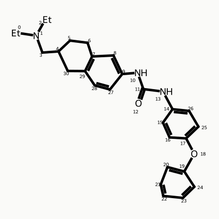 CCN(CC)CC1CCc2cc(NC(=O)Nc3ccc(Oc4ccccc4)cc3)ccc2C1